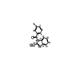 Cc1cccc(C(=O)n2c(C(C)(C)C)nc3ccccc32)c1